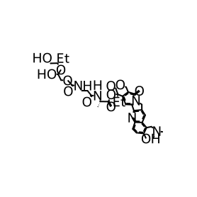 CCC(CO)OC(O)COC(=O)NCCC(=O)N[C@@H](C)C(=O)O[C@]1(CC)C(=O)OCc2c1cc1n(c2=O)Cc2cc3c(CN(C)C)c(O)ccc3nc2-1